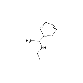 CCNC(N)c1[c]cccc1